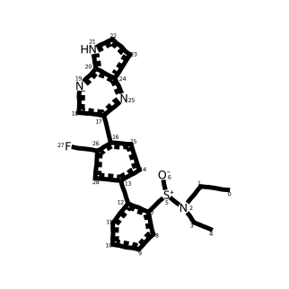 CCN(CC)[S+]([O-])c1ccccc1-c1ccc(-c2cnc3[nH]ccc3n2)c(F)c1